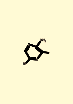 [CH2]c1nc(Br)cnc1N